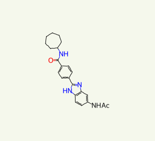 CC(=O)Nc1ccc2[nH]c(-c3ccc(C(=O)NC4CCCCCC4)cc3)nc2c1